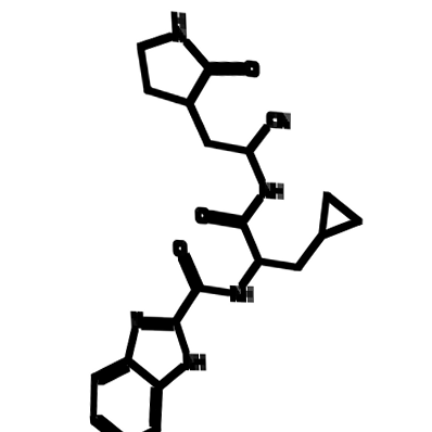 N#CC(CC1CCNC1=O)NC(=O)C(CC1CC1)NC(=O)c1nc2ccccc2[nH]1